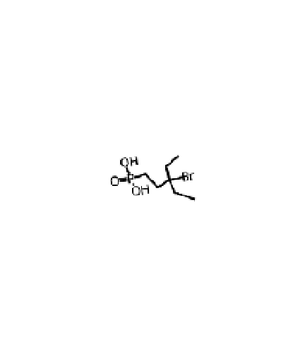 CCC(Br)(CC)CCP(=O)(O)O